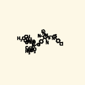 CC(C)C[C@@H](C(=O)O)N(CCOc1ccc(-c2c(C#N)c(SCc3csc(-c4ccc(Cl)cc4)n3)nc(N3CCCC3)c2C#N)cc1)C(=O)CNC(=O)OC(C)(C)C